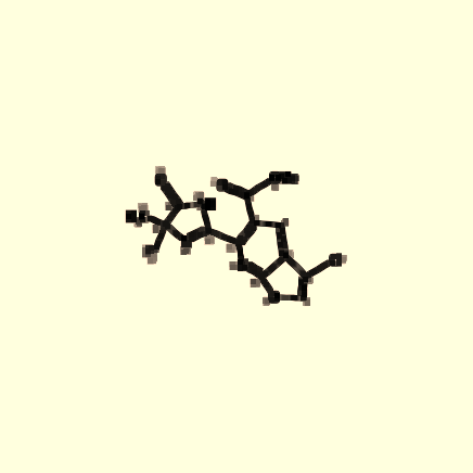 COC(=O)c1cc2c(Cl)coc2nc1C1=NC(C)(C(C)C)C(=O)N1